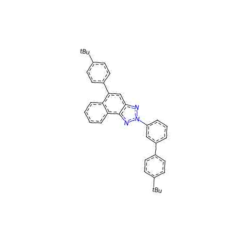 CC(C)(C)c1ccc(-c2cccc(-n3nc4cc(-c5ccc(C(C)(C)C)cc5)c5ccccc5c4n3)c2)cc1